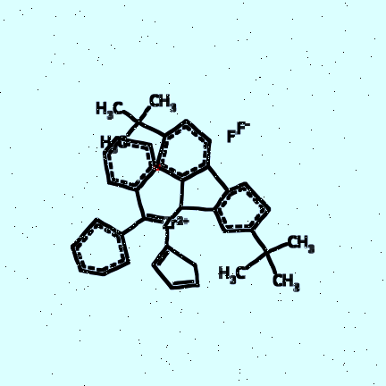 CC(C)(C)c1ccc2c(c1)[CH]([Zr+2]([C]1=CC=CC1)=[C](c1ccccc1)c1ccccc1)c1cc(C(C)(C)C)ccc1-2.[F-].[F-]